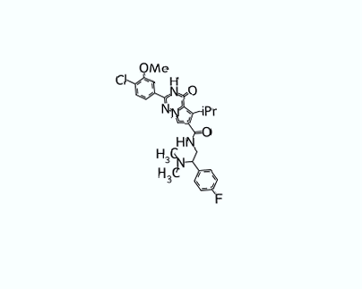 COc1cc(-c2nn3cc(C(=O)NCC(c4ccc(F)cc4)N(C)C)c(C(C)C)c3c(=O)[nH]2)ccc1Cl